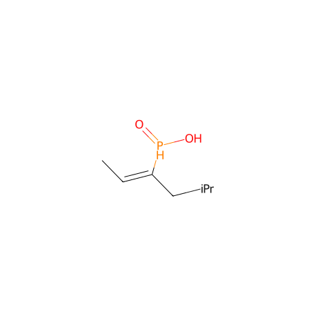 CC=C(CC(C)C)[PH](=O)O